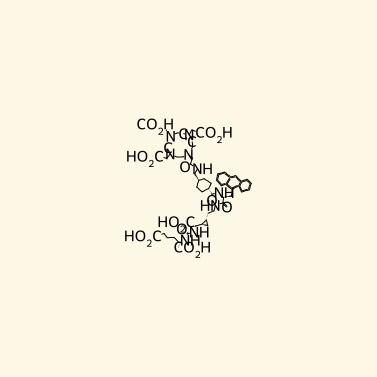 O=C(O)CCC[C@H](NC(=O)N[C@H](C(=O)O)[C@@H]1C[C@H]1CCNC(=O)[C@H](Cc1c2ccccc2cc2ccccc12)NC(=O)[C@H]1CC[C@H](CNC(=O)CN2CCN(CC(=O)O)CCN(CC(=O)O)CCN(CC(=O)O)CC2)CC1)C(=O)O